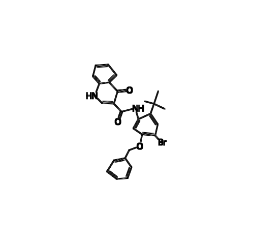 CC(C)(C)c1cc(Br)c(OCc2ccccc2)cc1NC(=O)c1c[nH]c2ccccc2c1=O